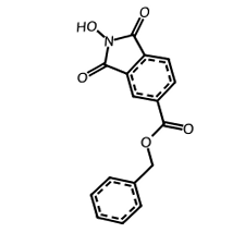 O=C(OCc1ccccc1)c1ccc2c(c1)C(=O)N(O)C2=O